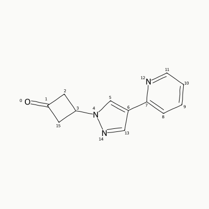 O=C1CC(n2cc(-c3ccccn3)cn2)C1